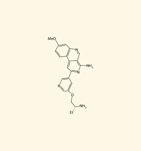 CC[C@@H](N)COc1cncc(-c2cc3c(cnc4cc(OC)ccc43)c(N)n2)c1